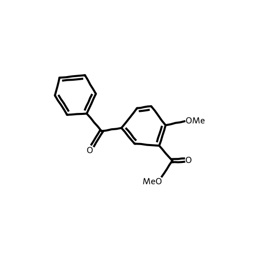 COC(=O)c1cc(C(=O)c2ccccc2)ccc1OC